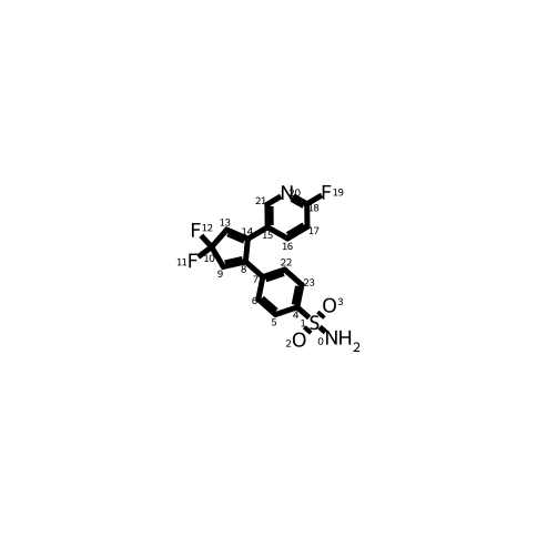 NS(=O)(=O)c1ccc(C2=CC(F)(F)C=C2c2ccc(F)nc2)cc1